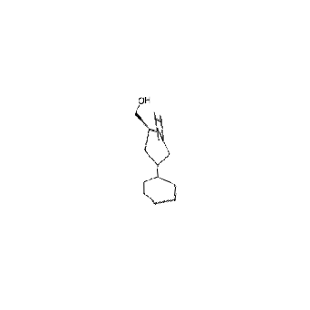 OC[C@@H]1CC(C2CCCCC2)CN1